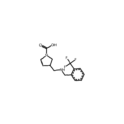 O=C(O)N1CCC(CNCc2ccccc2C(F)(F)F)C1